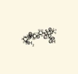 CC(C)(C)OC(=O)c1sc(-c2cccc(OC3CCN(S(=O)(=O)Cc4cccc(N)c4)CC3)c2)c(Cl)c1OCC(=O)O